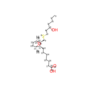 CCCCC(O)CCSC[C@H]1[C@@H](CCCCCCC(=O)O)[C@H]2CC[C@@H]1O2